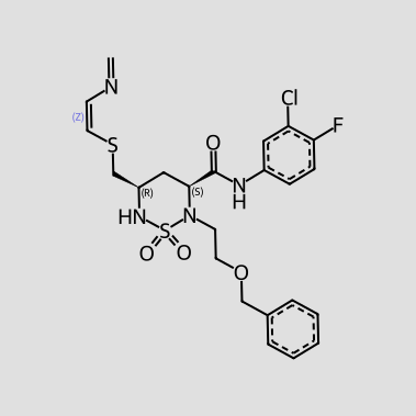 C=N/C=C\SC[C@H]1C[C@@H](C(=O)Nc2ccc(F)c(Cl)c2)N(CCOCc2ccccc2)S(=O)(=O)N1